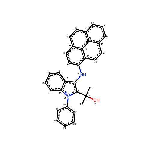 CC(C)(O)c1c(Nc2ccc3ccc4cccc5ccc2c3c45)c2ccccc2n1-c1ccccc1